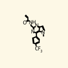 C=CC(=O)NCc1nc(-c2ccc(C(F)(F)F)cc2)c2c(ccn2C)n1